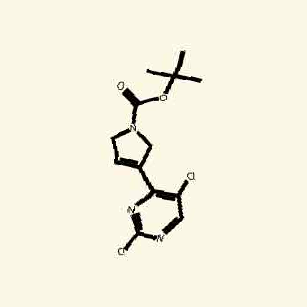 CC(C)(C)OC(=O)N1CC=C(c2nc(Cl)ncc2Cl)C1